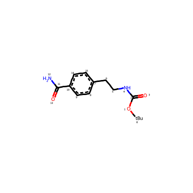 CC(C)(C)OC(=O)NCCc1ccc(C(N)=O)cc1